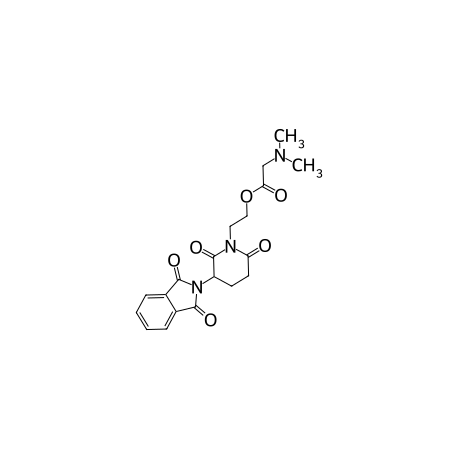 CN(C)CC(=O)OCCN1C(=O)CCC(N2C(=O)c3ccccc3C2=O)C1=O